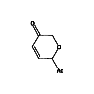 CC(=O)C1C=CC(=O)CO1